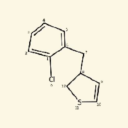 Clc1ccccc1CC1C=CSC1